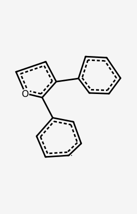 [c]1ccc(-c2occc2-c2ccccc2)cc1